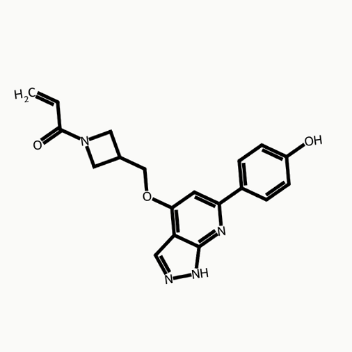 C=CC(=O)N1CC(COc2cc(-c3ccc(O)cc3)nc3[nH]ncc23)C1